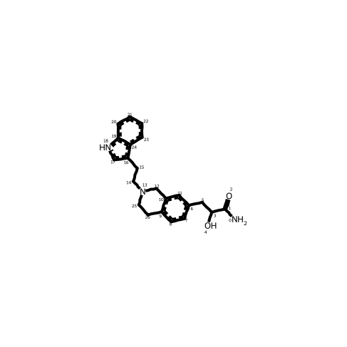 NC(=O)C(O)Cc1ccc2c(c1)CN(CCc1c[nH]c3ccccc13)CC2